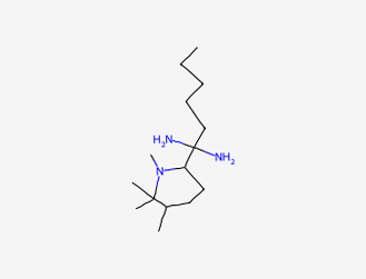 CCCCCC(N)(N)C1CCC(C)C(C)(C)N1C